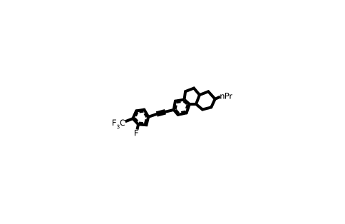 CCCC1CCC2c3ccc(C#Cc4ccc(C(F)(F)F)c(F)c4)cc3CCC2C1